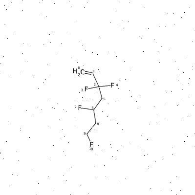 C=CC(F)(F)CC(F)CCF